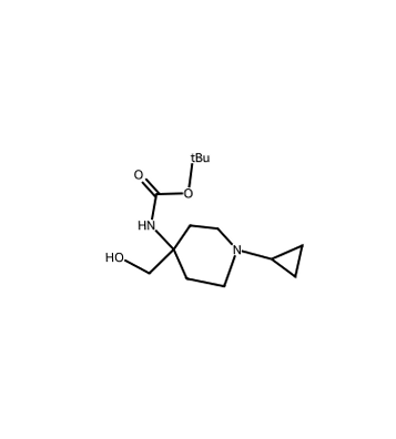 CC(C)(C)OC(=O)NC1(CO)CCN(C2CC2)CC1